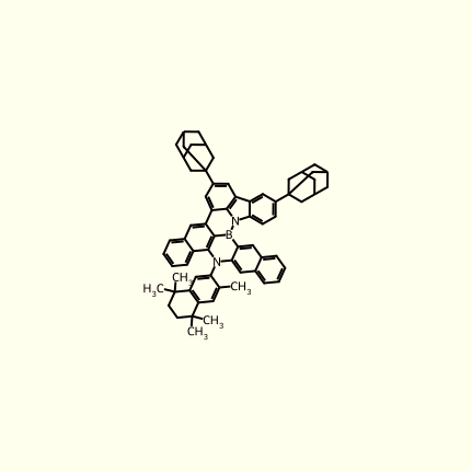 Cc1cc2c(cc1N1c3cc4ccccc4cc3B3c4c(cc5ccccc5c41)-c1cc(C45CC6CC(CC(C6)C4)C5)cc4c5cc(C67CC8CC(CC(C8)C6)C7)ccc5n3c14)C(C)(C)CCC2(C)C